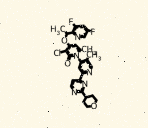 Cc1cnc(-c2ccnc(C3CCOCC3)n2)cc1-n1c(C)cc(OC(C)c2ncc(F)cc2F)c(Cl)c1=O